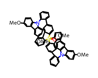 COc1ccc2c(c1)c1cc(OC)ccc1n2-c1ccccc1-c1ccc2c(c1)-c1ccccc1S21(=O)c2ccccc2-c2cc(-c3ccccc3-n3c4ccc(OC)cc4c4cc(OC)ccc43)ccc21